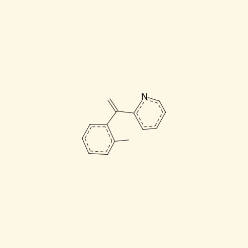 C=C(c1ccccn1)c1ccccc1C